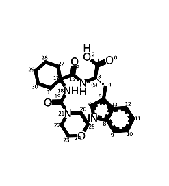 O=C(O)[C@H](Cc1c[nH]c2ccccc12)NC(=O)C1(NC(=O)N2CCOCC2)CCCCC1